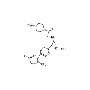 CN1CCN(C(=O)CNC2CC2c2ccc(-c3cc(F)ccc3C(F)(F)F)cc2)CC1.Cl.Cl